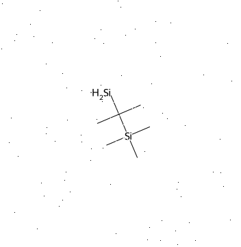 CC(C)([SiH2])[Si](C)(C)C